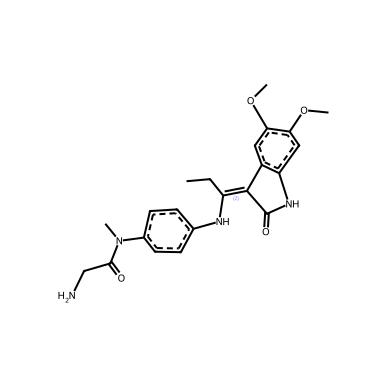 CC/C(Nc1ccc(N(C)C(=O)CN)cc1)=C1/C(=O)Nc2cc(OC)c(OC)cc21